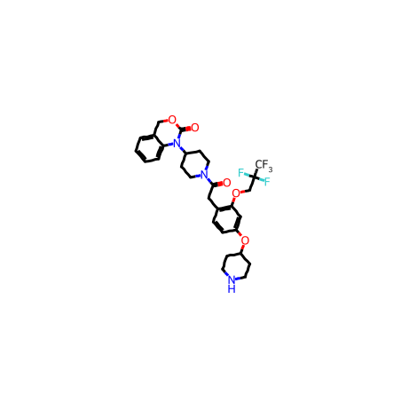 O=C(Cc1ccc(OC2CCNCC2)cc1OCC(F)(F)C(F)(F)F)N1CCC(N2C(=O)OCc3ccccc32)CC1